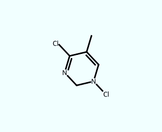 CC1=CN(Cl)CN=C1Cl